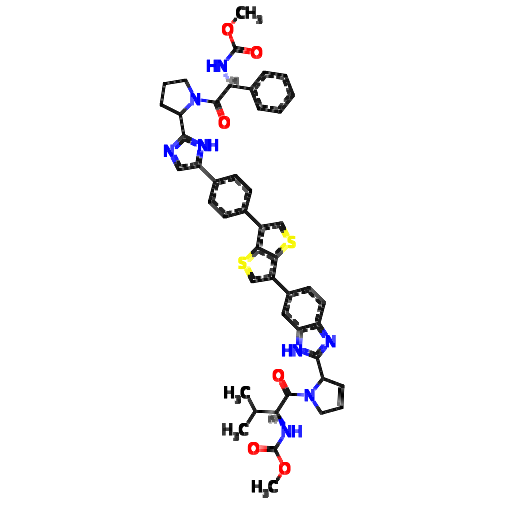 COC(=O)N[C@H](C(=O)N1CC=CC1c1nc2ccc(-c3csc4c(-c5ccc(-c6cnc(C7CCCN7C(=O)[C@H](NC(=O)OC)c7ccccc7)[nH]6)cc5)csc34)cc2[nH]1)C(C)C